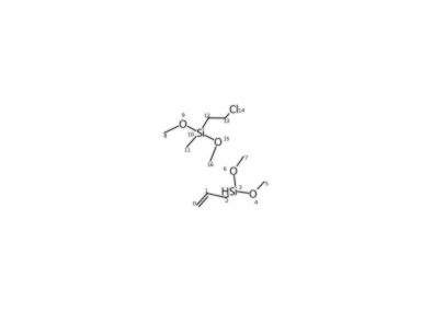 C=CC[SiH](OC)OC.CO[Si](C)(CCCl)OC